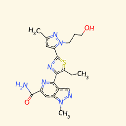 CCc1sc(-c2cc(C)nn2CCCO)nc1-c1nc(C(N)=O)cc2c1cnn2C